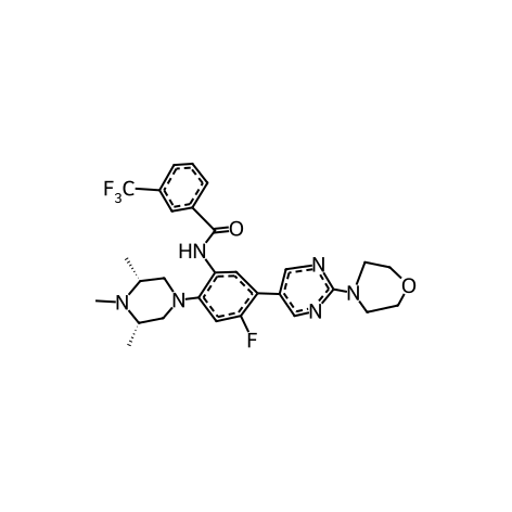 C[C@@H]1CN(c2cc(F)c(-c3cnc(N4CCOCC4)nc3)cc2NC(=O)c2cccc(C(F)(F)F)c2)C[C@H](C)N1C